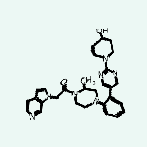 CC1CN(c2ccccc2-c2cnc(N3CCC(O)CC3)nc2)CCN1C(=O)Cn1ccc2ccncc21